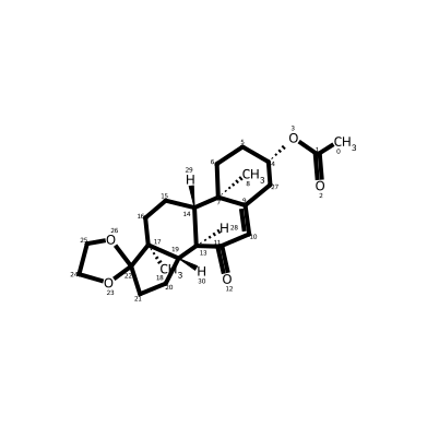 CC(=O)O[C@H]1CC[C@@]2(C)C(=CC(=O)[C@@H]3[C@@H]2CC[C@@]2(C)[C@H]3CCC23OCCO3)C1